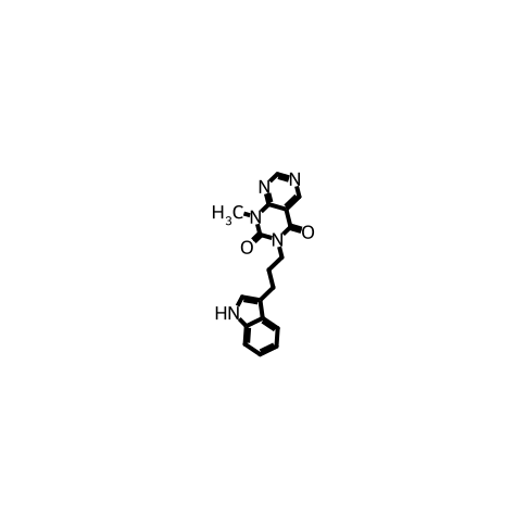 Cn1c(=O)n(CCCc2c[nH]c3ccccc23)c(=O)c2cncnc21